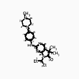 CCC(CC)N1C(=O)C(C)(C)c2cnc(Nc3ccc(N4CCN(C)CC4)cc3)nc21